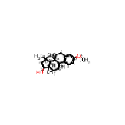 COc1ccc2c(c1)CC[C@@H]1[C@@H]2CC[C@@]2(C)[C@H]1C(C)(C)C[C@@H]2O